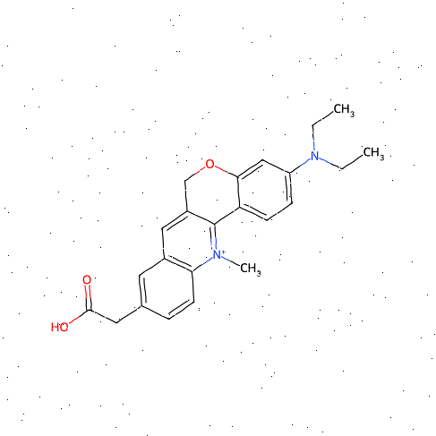 CCN(CC)c1ccc2c(c1)OCc1cc3cc(CC(=O)O)ccc3[n+](C)c1-2